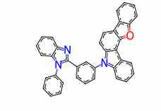 c1ccc(-n2c(-c3cccc(-n4c5ccccc5c5c6oc7ccccc7c6ccc54)c3)nc3ccccc32)cc1